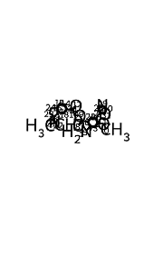 COc1cc(N)c(C(=O)OCC(=O)c2ccc3c(c2)C(N(C)C)CC3)cc1-c1cnco1